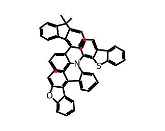 CC1(C)c2ccccc2-c2c(-c3ccccc3N(c3ccccc3-c3cccc4oc5ccccc5c34)c3cccc4c3sc3ccccc34)cccc21